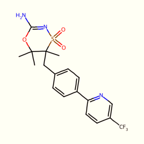 CC1(C)OC(N)=NS(=O)(=O)C1(C)Cc1ccc(-c2ccc(C(F)(F)F)cn2)cc1